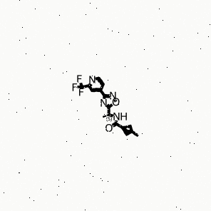 C[C@H](NC(=O)C12CC(C)(C1)C2)c1nc(-c2ccnc(C(F)(F)F)c2)no1